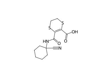 N#CC1(NC(=O)C2=C(C(=O)O)SCCS2)CCCCC1